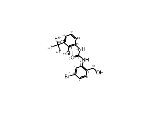 O=C(Nc1cc(Br)ccc1CO)Nc1cccc(C(F)(F)F)c1S